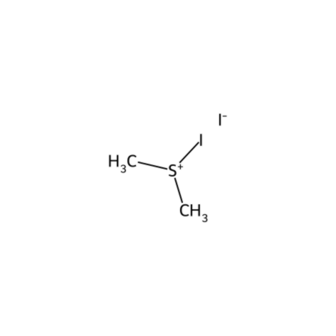 C[S+](C)I.[I-]